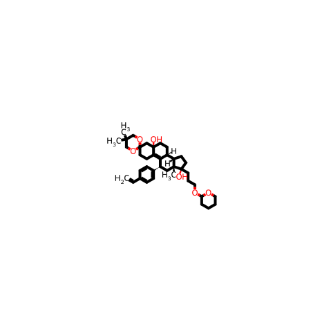 C=Cc1ccc([C@H]2C[C@]3(C)[C@@H](CC[C@]3(O)CCCOC3CCCCO3)[C@@H]3CC[C@@]4(O)CC5(CCC4=C32)OCC(C)(C)CO5)cc1